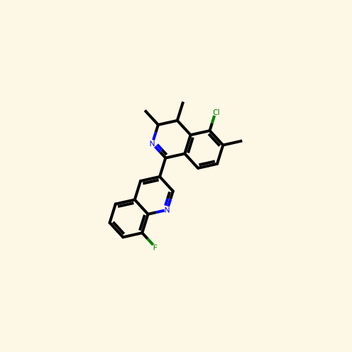 Cc1ccc2c(c1Cl)C(C)C(C)N=C2c1cnc2c(F)cccc2c1